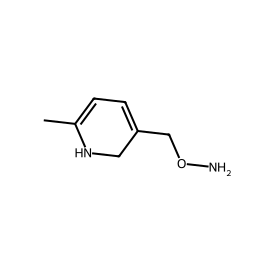 CC1=CC=C(CON)CN1